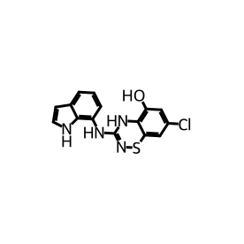 Oc1cc(Cl)cc2c1NC(Nc1cccc3cc[nH]c13)=NS2